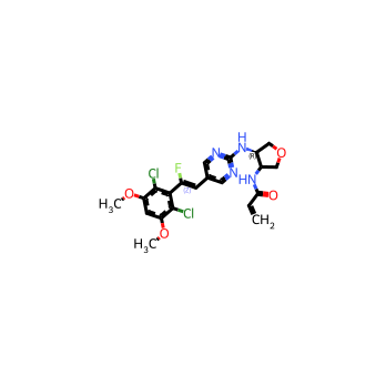 C=CC(=O)NC1COC[C@@H]1Nc1ncc(/C=C(\F)c2c(Cl)c(OC)cc(OC)c2Cl)cn1